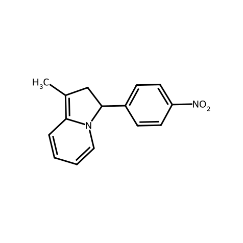 CC1=C2C=CC=CN2C(c2ccc([N+](=O)[O-])cc2)C1